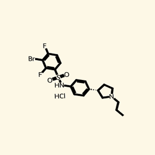 CCCN1CC[C@@H](c2ccc(NS(=O)(=O)c3ccc(F)c(Br)c3F)cc2)C1.Cl